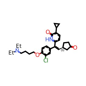 CCN(CC)CCCCOc1ccc(C(=C[C@H]2CCC(=O)C2)c2ccc(C3CC3)c(=O)[nH]2)cc1Cl